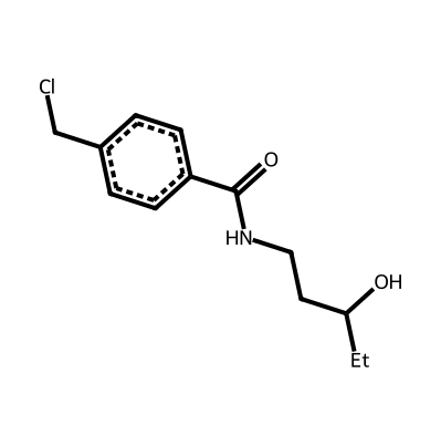 CCC(O)CCNC(=O)c1ccc(CCl)cc1